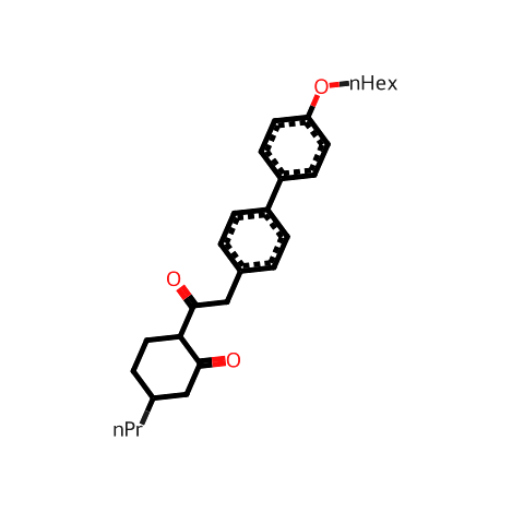 CCCCCCOc1ccc(-c2ccc(CC(=O)C3CCC(CCC)CC3=O)cc2)cc1